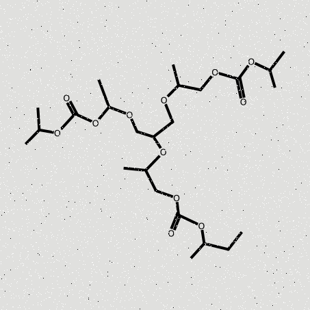 CCC(C)OC(=O)OCC(C)OC(COC(C)COC(=O)OC(C)C)COC(C)OC(=O)OC(C)C